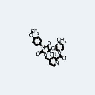 CN1CCN(C(=O)c2cc(CN3C(=O)N(c4ccc(OC(F)(F)F)cc4)C(=O)C3(C)C)ccn2)CC1